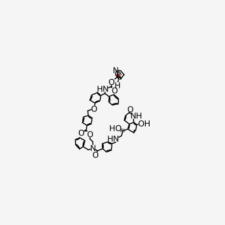 O=C(NC(c1ccccc1)c1cccc(OCc2ccc(C(=O)OCCN(Cc3ccccc3)C(=O)c3ccc(CNC[C@H](O)c4ccc(O)c5[nH]c(=O)ccc45)cc3)cc2)c1)O[C@H]1CN2CCC1CC2